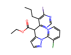 CCCc1c(I)ncnc1C(C(=O)OCC)c1ccnn1-c1ncccc1F